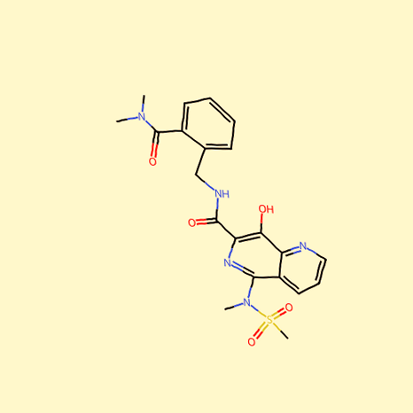 CN(C)C(=O)c1ccccc1CNC(=O)c1nc(N(C)S(C)(=O)=O)c2cccnc2c1O